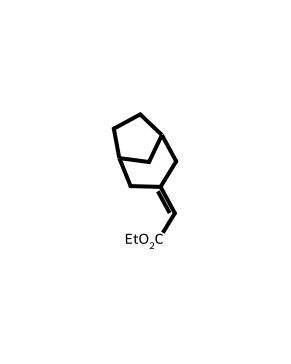 CCOC(=O)C=C1CC2CCC(C1)C2